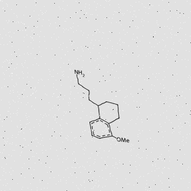 COc1cccc2c1CCCC2CCCN